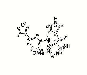 COc1ccc(-c2ccoc2)cc1Nc1ncnc2[nH]cc(-c3cn[nH]c3)c12